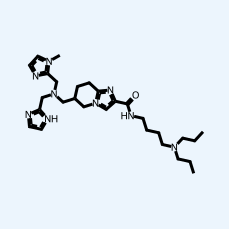 CCCN(CCC)CCCCNC(=O)c1cn2c(n1)CCC(CN(Cc1ncc[nH]1)Cc1nccn1C)C2